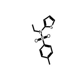 CCN(c1cccs1)S(=O)(=O)c1ccc(C)cc1